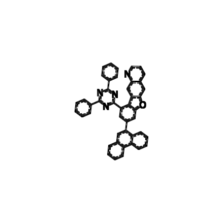 c1ccc(-c2nc(-c3ccccc3)nc(-c3cc(-c4cc5ccccc5c5ccccc45)cc4oc5cc6cccnc6cc5c34)n2)cc1